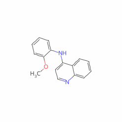 COc1ccccc1Nc1ccnc2ccccc12